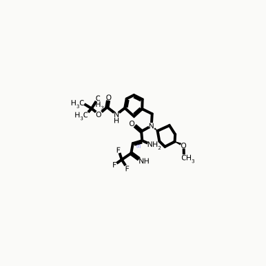 CO[C@H]1CC[C@H](N(Cc2cccc(NC(=O)OC(C)(C)C)c2)C(=O)/C(N)=C/C(=N)C(F)(F)F)CC1